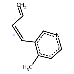 C=C/C=C\c1cnccc1C